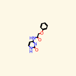 O=C(COc1ccccc1)Nc1cc[nH]c(=O)n1